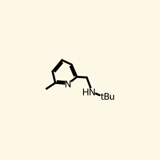 Cc1cccc(CNC(C)(C)C)n1